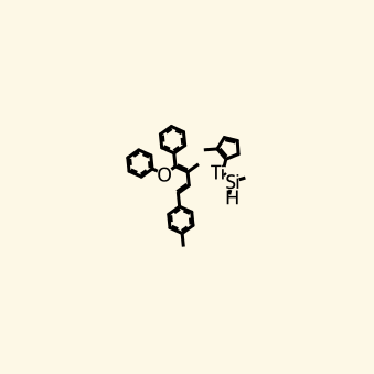 CC(C=Cc1ccc(C)cc1)=C(Oc1ccccc1)c1ccccc1.CC1=[C]([Ti][SiH](C)C)CC=C1